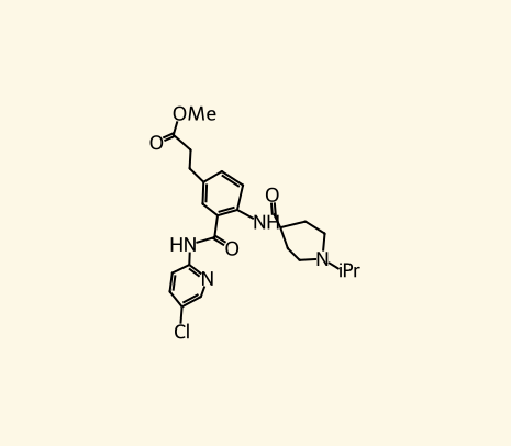 COC(=O)CCc1ccc(NC(=O)C2CCN(C(C)C)CC2)c(C(=O)Nc2ccc(Cl)cn2)c1